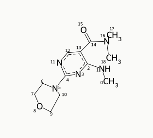 CNc1nc(N2CCOCC2)ncc1C(=O)N(C)C